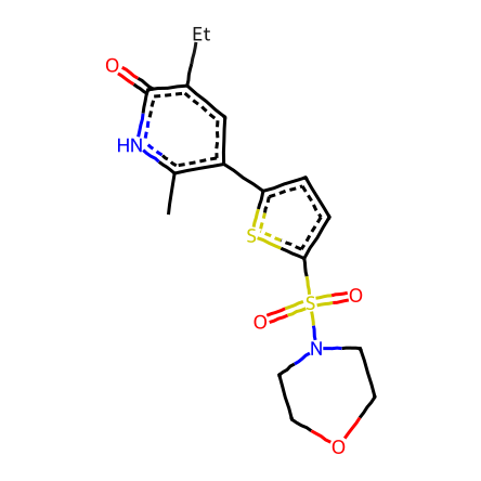 CCc1cc(-c2ccc(S(=O)(=O)N3CCOCC3)s2)c(C)[nH]c1=O